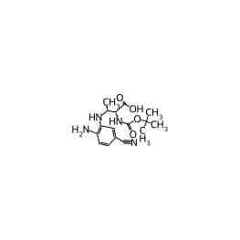 C[C@H](Nc1cc(C#N)ccc1N)[C@H](NC(=O)OC(C)(C)C)C(=O)O